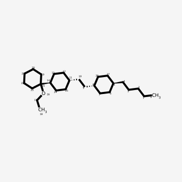 CCCCC[C@H]1CC[C@H](CC[C@H]2CC[C@H](C3(OCC)CCCCC3)CC2)CC1